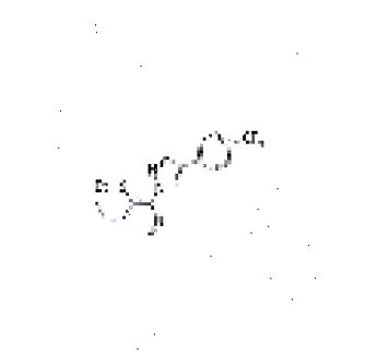 C=N/C(=C(\C=C/C)SCC)n1cc(-c2ccc(C(F)(F)F)cc2)cn1